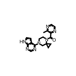 Cc1nccnc1C(=O)N1CCN(c2ncnc3[nH]ccc23)CC12CC2